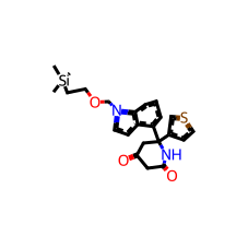 C[Si](C)(C)CCOCn1ccc2c(C3(c4ccsc4)CC(=O)CC(=O)N3)cccc21